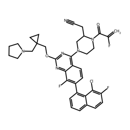 C=C(F)C(=O)N1CCN(c2nc(OCC3(CN4CCCC4)CC3)nc3c(F)c(-c4cccc5ccc(F)c(Cl)c45)ccc23)CC1CC#N